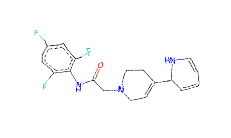 O=C(CN1CC=C(C2C=CC=CN2)CC1)Nc1c(F)cc(F)cc1F